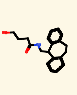 O=C(CCCO)NCC1c2ccccc2CCc2ccccc21